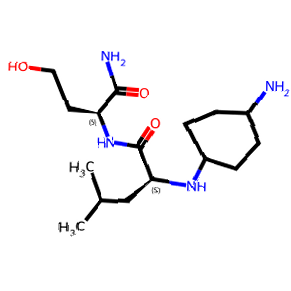 CC(C)C[C@H](NC1CCC(N)CC1)C(=O)N[C@@H](CCO)C(N)=O